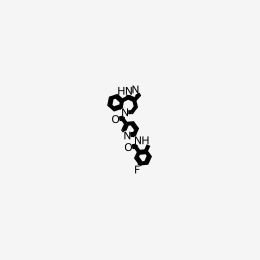 Cc1ccc(F)cc1C(=O)Nc1ccc(C(=O)N2CCc3cn[nH]c3-c3ccccc32)cn1